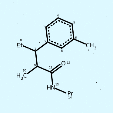 CCC(c1cccc(C)c1)C(C)C(=O)NC(C)C